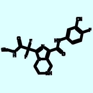 CC(C)(C)NC(=O)C(F)(F)c1nc(C(=O)Nc2ccc(F)c(C#N)c2)c2n1CCNC2